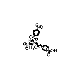 C[C@](O)(CN1CCN(C(=O)O)CC1)Cn1cc([N+](=O)[O-])nc1S(=O)(=O)c1ccc([N+](=O)[O-])cc1